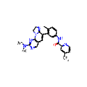 CC(=O)N(C(C)=O)c1ncc2c(n1)N1CCN=C1C(c1cc(NC(=O)c3cc(C(F)(F)F)ccn3)ccc1C)=C2